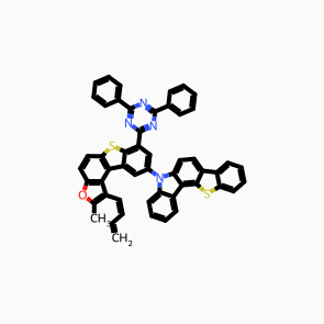 C=C/C=C\c1c(C)oc2ccc3sc4c(-c5nc(-c6ccccc6)nc(-c6ccccc6)n5)cc(-n5c6ccccc6c6c7sc8ccccc8c7ccc65)cc4c3c12